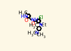 CCN(c1cc(Cl)cc(C(=O)NCc2ccc(C)[nH]c2=O)c1C)[C@H]1CC[C@H](N(C)C)CC1